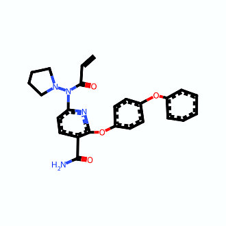 C=CC(=O)N(c1ccc(C(N)=O)c(Oc2ccc(Oc3ccccc3)cc2)n1)N1CCCC1